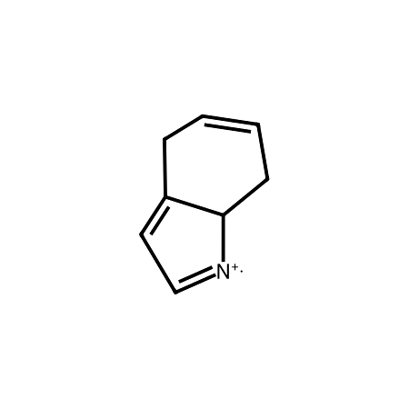 C1=CCC2[N+]=CC=C2C1